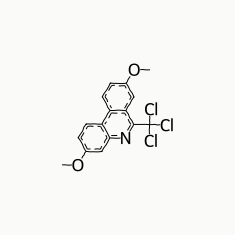 COc1ccc2c(c1)nc(C(Cl)(Cl)Cl)c1cc(OC)ccc12